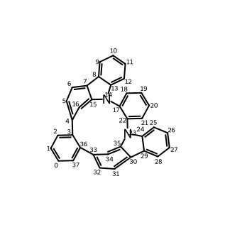 c1ccc2c3ccc4c5ccccc5n(c4c3)c3ccccc3n3c4ccccc4c4ccc(cc43)c2c1